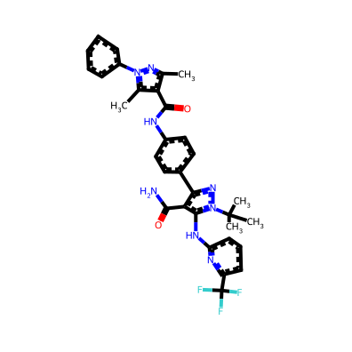 Cc1nn(-c2ccccc2)c(C)c1C(=O)Nc1ccc(-c2nn(C(C)(C)C)c(Nc3cccc(C(F)(F)F)n3)c2C(N)=O)cc1